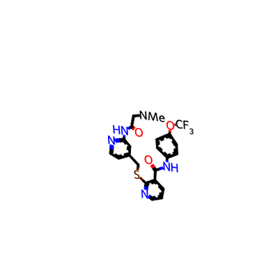 CNCC(=O)Nc1cc(CSc2ncccc2C(=O)Nc2ccc(OC(F)(F)F)cc2)ccn1